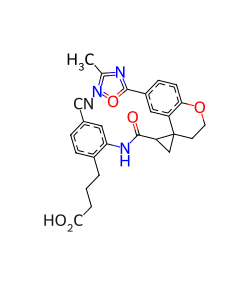 Cc1noc(-c2ccc3c(c2)C2(CCO3)CC2C(=O)Nc2cc(C#N)ccc2CCCC(=O)O)n1